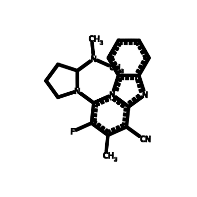 Cc1c(F)c(N2CCCC2N(C)C)n2c(nc3ccccc32)c1C#N